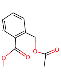 COC(=O)c1[c]cccc1COC(C)=O